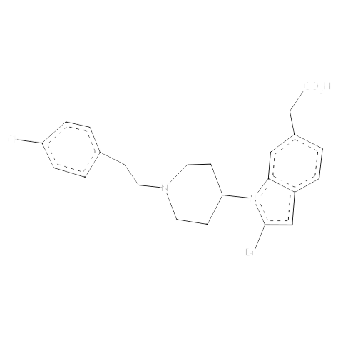 O=C(O)Cc1ccc2cc(Br)n(C3CCN(CCc4ccc(Cl)cc4)CC3)c2c1